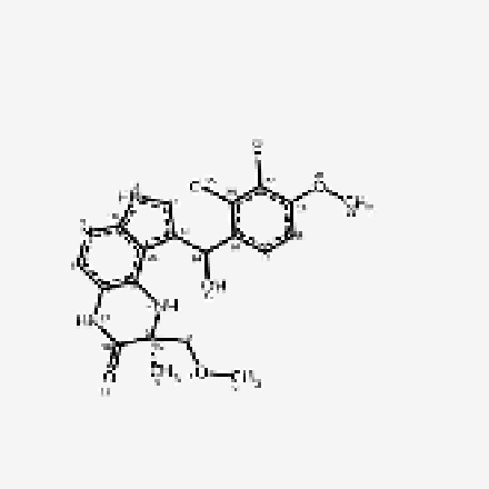 COC[C@]1(C)Nc2c(cnc3[nH]cc(C(O)c4ccc(OC)c(F)c4Cl)c23)NC1=O